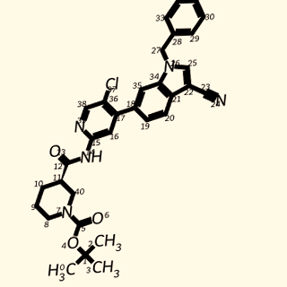 CC(C)(C)OC(=O)N1CCC[C@@H](C(=O)Nc2cc(-c3ccc4c(C#N)cn(Cc5ccccc5)c4c3)c(Cl)cn2)C1